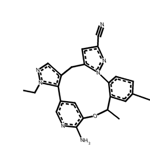 CCn1ncc2c1-c1cnc(N)c(c1)OC(C)c1cc(C)ccc1-n1nc(C#N)cc1C2